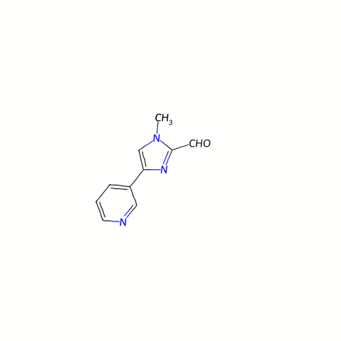 Cn1cc(-c2cccnc2)nc1C=O